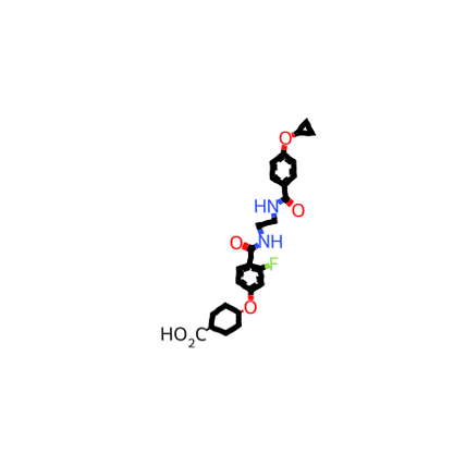 O=C(NCCNC(=O)c1ccc(O[C@H]2CC[C@@H](C(=O)O)CC2)cc1F)c1ccc(OC2CC2)cc1